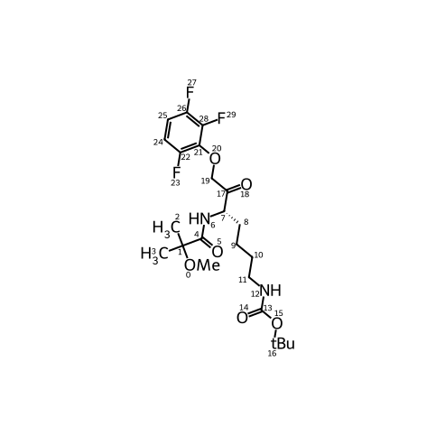 COC(C)(C)C(=O)N[C@@H](CCCCNC(=O)OC(C)(C)C)C(=O)COc1c(F)ccc(F)c1F